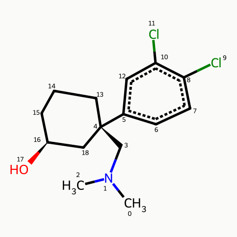 CN(C)C[C@]1(c2ccc(Cl)c(Cl)c2)CCC[C@H](O)C1